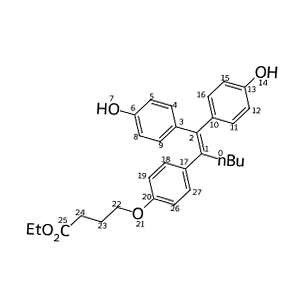 CCCCC(=C(c1ccc(O)cc1)c1ccc(O)cc1)c1ccc(OCCCC(=O)OCC)cc1